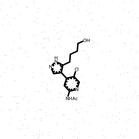 CC(=O)Nc1cc(-c2cn[nH]c2CCCCO)c(Cl)cn1